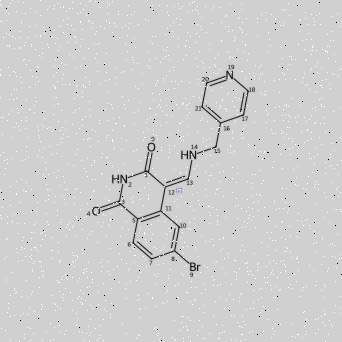 O=C1NC(=O)c2ccc(Br)cc2/C1=C/NCc1ccncc1